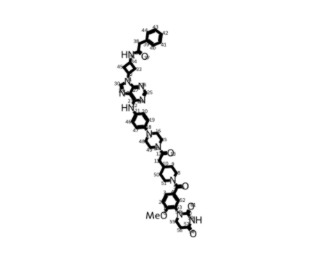 COc1ccc(C(=O)N2CCC(CC(=O)N3CCN(c4ccc(Nc5ncnc6c5ncn6C5CC(NC(=O)Cc6ccccc6)C5)cc4)CC3)CC2)cc1N1CCC(=O)NC1=O